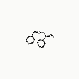 C=C(C=C=Cc1ccccc1)c1ccccc1